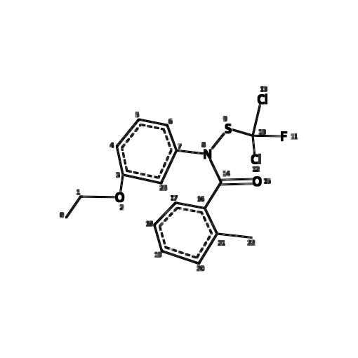 CCOc1cccc(N(SC(F)(Cl)Cl)C(=O)c2ccccc2C)c1